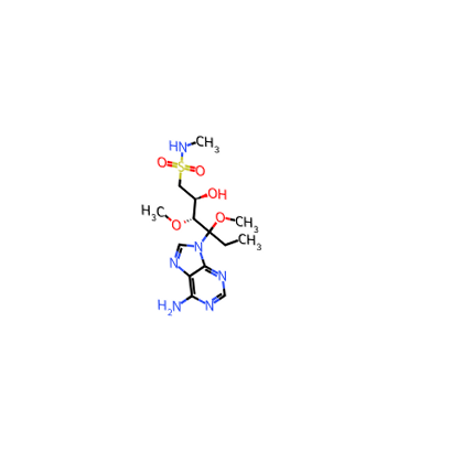 CCC(OC)([C@H](OC)[C@H](O)CS(=O)(=O)NC)n1cnc2c(N)ncnc21